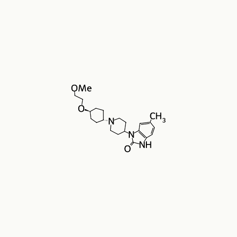 COCCO[C@H]1CC[C@H](N2CCC(n3c(=O)[nH]c4ccc(C)cc43)CC2)CC1